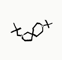 CC(C)(C)CN1CCC2(CCN(C(C)(C)C)CC2)C1